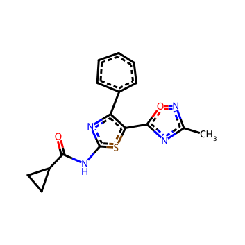 Cc1noc(-c2sc(NC(=O)C3CC3)nc2-c2ccccc2)n1